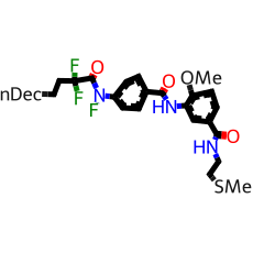 CCCCCCCCCCCCC(F)(F)C(=O)N(F)c1ccc(C(=O)Nc2cc(C(=O)NCCSC)ccc2OC)cc1